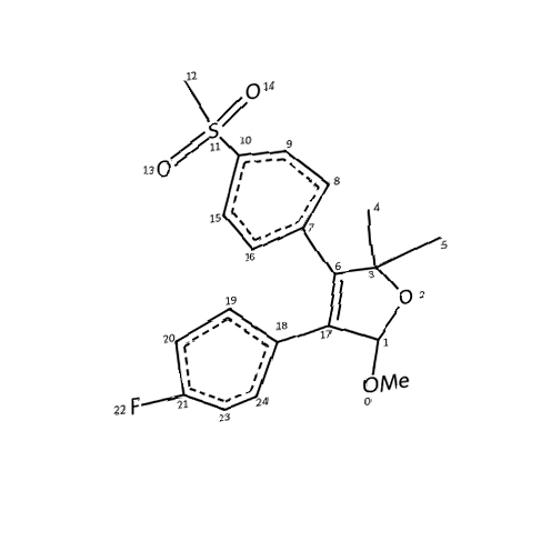 COC1OC(C)(C)C(c2ccc(S(C)(=O)=O)cc2)=C1c1ccc(F)cc1